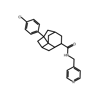 O=C(NCc1ccncc1)C12CC3CC4(c5ccc(Cl)cc5)CC(C1)C4(C3)C2